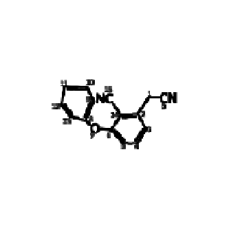 N#CCc1cccc(Oc2ccccc2)c1C#N